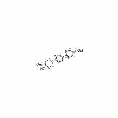 CCCCCCCCCC[C@]1(C#N)CC[C@H](c2ccc(-c3ncc(CCCCCCCC)cn3)cc2)CC1